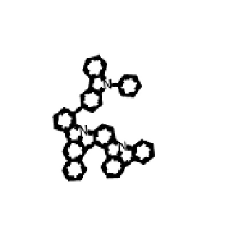 c1ccc(-n2c3ccccc3c3cc(-c4cccc5c6cc7ccccc7c7c8c9c%10cccc%11c%12ccccc%12n(c9ccc8n(c45)c67)c%11%10)ccc32)cc1